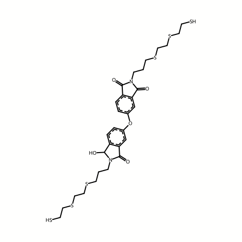 O=C1c2ccc(Oc3ccc4c(c3)C(=O)N(CCCSCCSCCS)C4O)cc2C(=O)N1CCCSCCSCCS